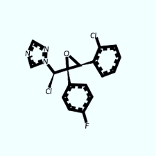 Fc1ccc([C@@]2([C@@H](Cl)n3cncn3)O[C@H]2c2ccccc2Cl)cc1